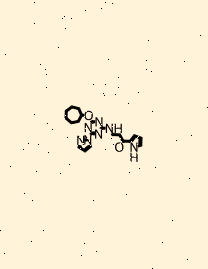 O=C(CCNc1nc(OC2CCCCCC2)nc(-n2cccn2)n1)c1ccc[nH]1